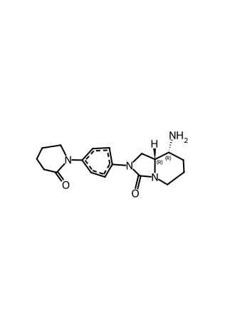 N[C@@H]1CCCN2C(=O)N(c3ccc(N4CCCCC4=O)cc3)C[C@H]12